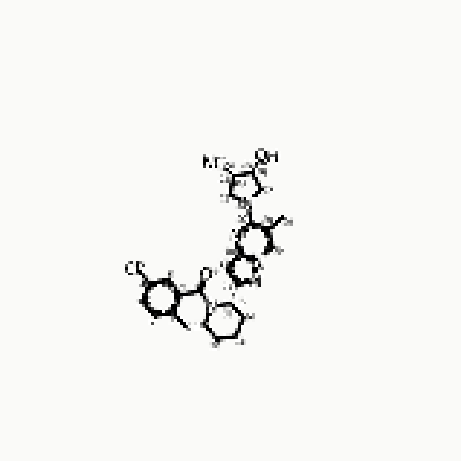 Cc1ccc(Cl)cc1C(=O)N1CCCC[C@H]1c1cc2nc(N3C[C@@H](C#N)[C@@H](O)C3)c(C)cn2n1